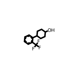 OC1CCC(c2ccccc2C(F)(F)F)CC1